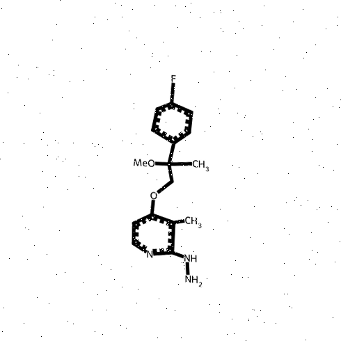 COC(C)(COc1ccnc(NN)c1C)c1ccc(F)cc1